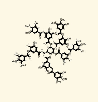 COc1cc(C(=O)Cc2cc(C(=O)O[C@H]3[C@H](OC(=O)c4cc(O)c(O)c(OC(=O)c5cc(O)c(OC)c(OC)c5)c4)[C@@H](OC(=O)c4cc(O)c(O)c(OC(=O)c5cc(O)c(OC)c(OC)c5)c4)[C@H](OC(=O)c4cc(O)c(O)c(OC(=O)c5cc(O)c(OC)c(OC)c5)c4)O[C@@H]3COC(=O)c3cc(O)c(O)c(OC(=O)c4cc(O)c(OC)c(OC)c4)c3)cc(O)c2O)cc(O)c1OC